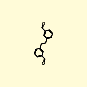 O=Cc1cccc([CH]Cc2cccc(C=O)c2)c1